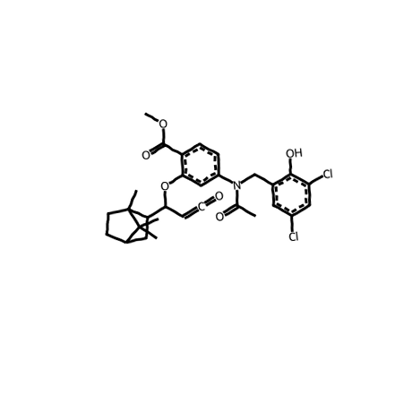 COC(=O)c1ccc(N(Cc2cc(Cl)cc(Cl)c2O)C(C)=O)cc1OC(C=C=O)C1CC2CCC1(C)C2(C)C